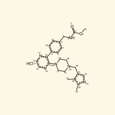 COC(=O)NCc1ccc(-c2nccnc2N2CCN(Cc3cnn(C)c3C)CC2)cc1.Cl